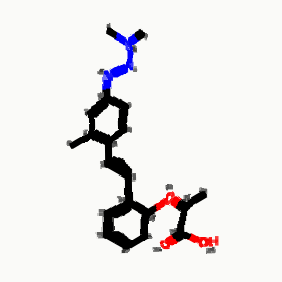 Cc1cc(N=NN(C)C)ccc1C=Cc1ccccc1OC(C)C(=O)O